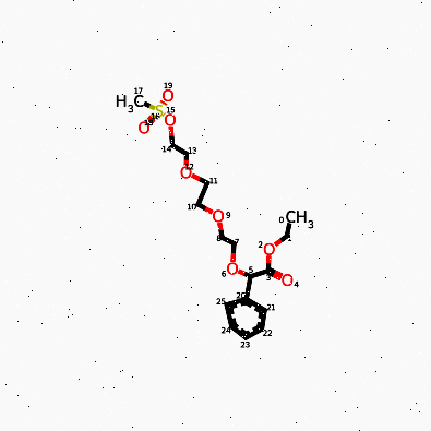 CCOC(=O)C(OCCOCCOCCOS(C)(=O)=O)c1ccccc1